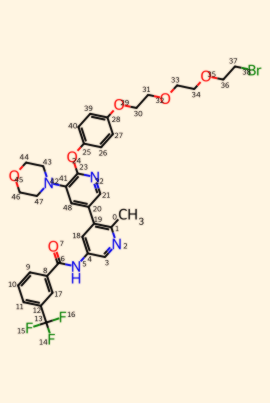 Cc1ncc(NC(=O)c2cccc(C(F)(F)F)c2)cc1-c1cnc(Oc2ccc(OCCOCCOCCBr)cc2)c(N2CCOCC2)c1